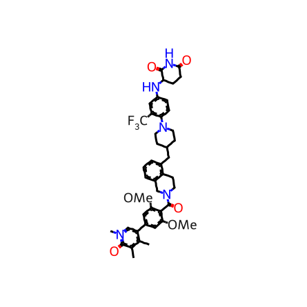 COc1cc(-c2cn(C)c(=O)c(C)c2C)cc(OC)c1C(=O)N1CCc2c(CC3CCN(c4ccc(NC5CCC(=O)NC5=O)cc4C(F)(F)F)CC3)cccc2C1